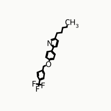 CCCCCc1ccc(-c2ccc(OCc3ccc(C(F)(F)F)cc3)cc2)nc1